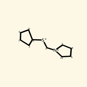 C1CCC(SCN2CCCC2)C1